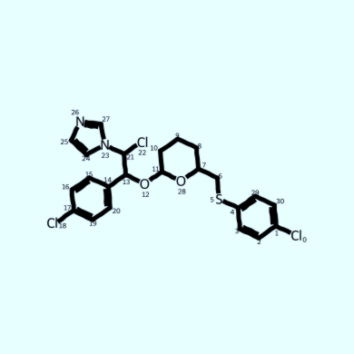 Clc1ccc(SCC2CCCC(OC(c3ccc(Cl)cc3)C(Cl)n3ccnc3)O2)cc1